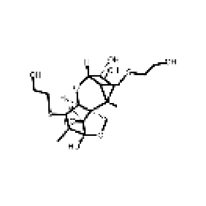 CC1C(SCCO)[C@H]2O[C@@H]3[C@H](O)C[C@](C)([C@]24CO[C@@]1(O)[C@H]4O)[C@]3(O)CSCCO